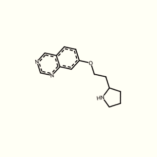 c1ncc2ccc(OCCC3CCCN3)cc2n1